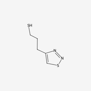 SCCCc1csnn1